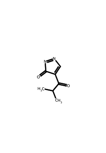 CC(C)C(=O)C1=CN=NC1=O